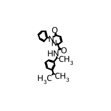 CC(C)c1cccc([C@@H](C)NC(=O)c2ccc(=O)n(-c3ccccc3)n2)c1